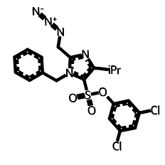 CC(C)c1nc(CN=[N+]=[N-])n(Cc2ccccc2)c1S(=O)(=O)Oc1cc(Cl)cc(Cl)c1